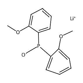 COc1ccccc1P([O-])c1ccccc1OC.[Li+]